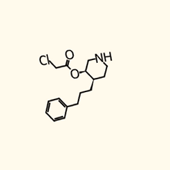 O=C(CCl)O[C@H]1CNCC[C@H]1CCCc1ccccc1